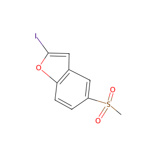 CS(=O)(=O)c1ccc2oc(I)cc2c1